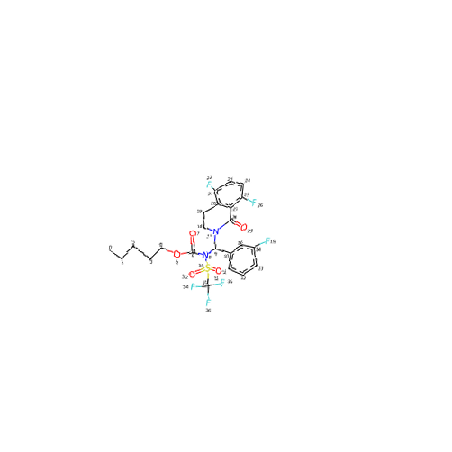 CCCCCOC(=O)N(C(c1cccc(F)c1)N1CCc2c(F)ccc(F)c2C1=O)S(=O)(=O)C(F)(F)F